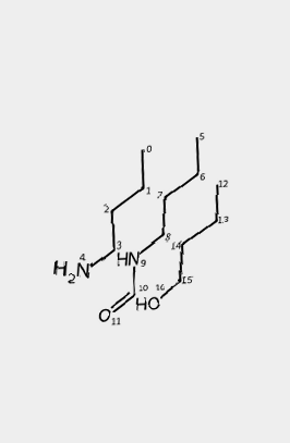 CCCCN.CCCCNC=O.CCCCO